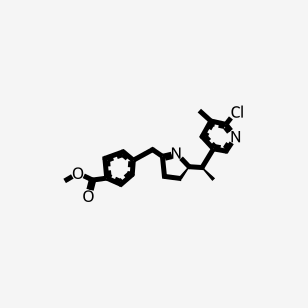 COC(=O)c1ccc(CC2=N[C@@H]([C@H](C)c3cnc(Cl)c(C)c3)CC2)cc1